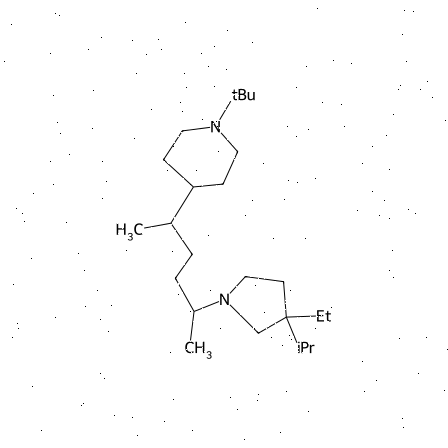 CCC1(C(C)C)CCN(C(C)CCC(C)C2CCN(C(C)(C)C)CC2)C1